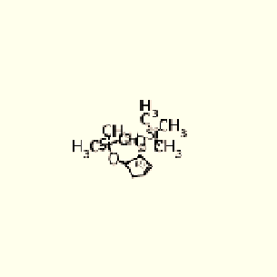 C[Si](C)(C)OC1CC=C[C@H]1O[Si](C)(C)C